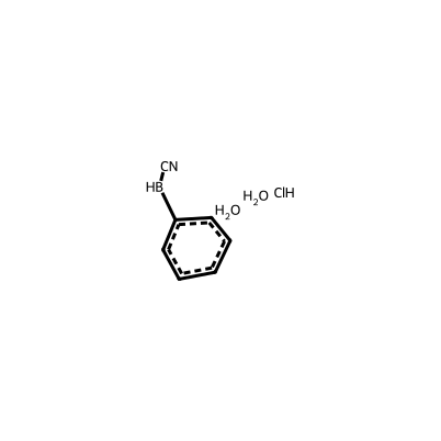 Cl.N#CBc1ccccc1.O.O